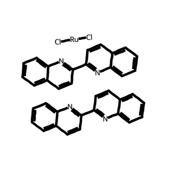 [Cl][Ru][Cl].c1ccc2nc(-c3ccc4ccccc4n3)ccc2c1.c1ccc2nc(-c3ccc4ccccc4n3)ccc2c1